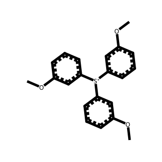 COc1cccc([S+](c2cccc(OC)c2)c2cccc(OC)c2)c1